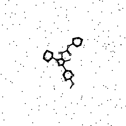 COc1ncc(-c2nn(-c3ccccc3)c(NC(=O)Oc3ccccc3)c2C)cn1